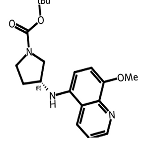 COc1ccc(N[C@@H]2CCN(C(=O)OC(C)(C)C)C2)c2cccnc12